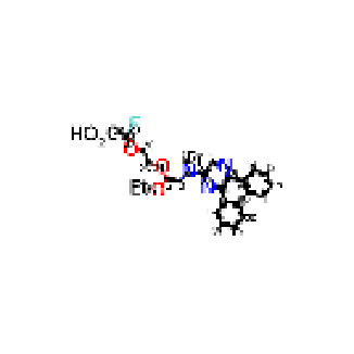 CCOC(CN(c1cnc(-c2ccccc2)c(-c2ccccc2)n1)C(C)C)OCCOC(F)C(=O)O